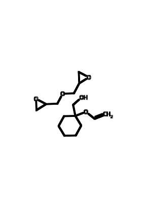 C(OCC1CO1)C1CO1.C=COC1(CO)CCCCC1